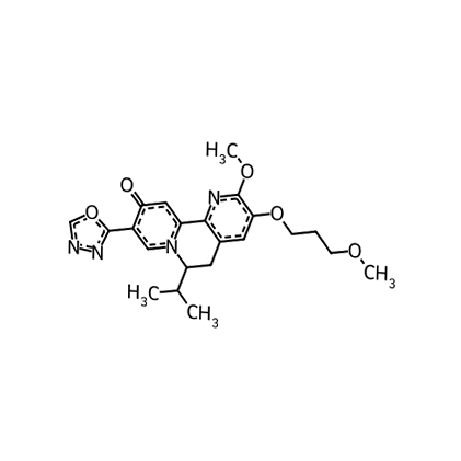 COCCCOc1cc2c(nc1OC)-c1cc(=O)c(-c3nnco3)cn1C(C(C)C)C2